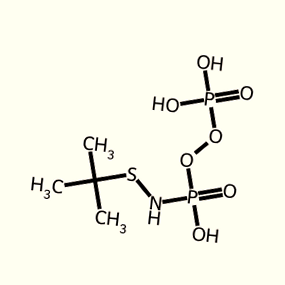 CC(C)(C)SNP(=O)(O)OOP(=O)(O)O